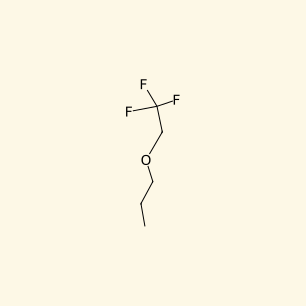 CCCOCC(F)(F)F